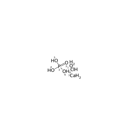 Cl.O.O=P(O)(O)O.[CaH2]